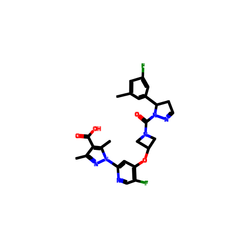 Cc1cc(F)cc(C2CC=NN2C(=O)N2CC(Oc3cc(-n4nc(C)c(C(=O)O)c4C)ncc3F)C2)c1